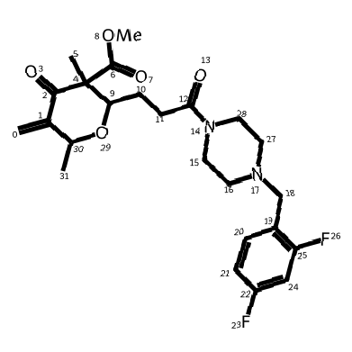 C=C1C(=O)C(C)(C(=O)OC)C(CCC(=O)N2CCN(Cc3ccc(F)cc3F)CC2)OC1C